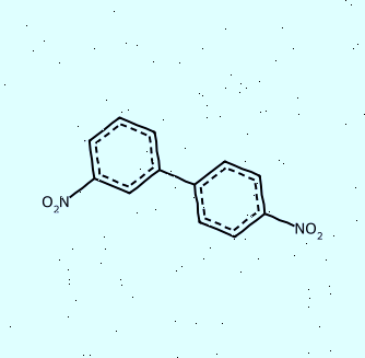 O=[N+]([O-])c1[c]ccc(-c2ccc([N+](=O)[O-])cc2)c1